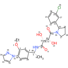 CCOc1cc([C@@H](C)NC(=O)[C@H](O)[C@@H](O)C(=O)N2CCCC2c2cccc(Cl)c2)ccc1-n1cccn1